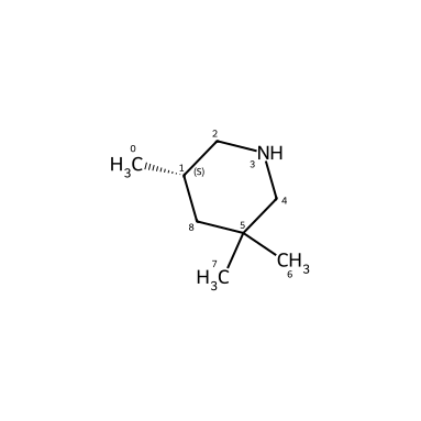 C[C@@H]1CNCC(C)(C)C1